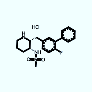 CS(=O)(=O)N[C@@H]1CCCN[C@@H]1Cc1ccc(F)c(-c2ccccc2)c1.Cl